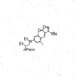 CCCCCC(CC)CN(CC)c1cc(C)c(C=C2C(=O)ON=C2C(C)(C)C)c(C)c1